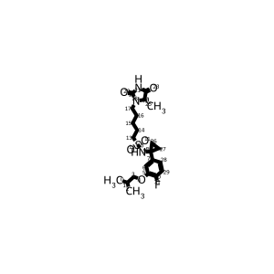 CC(C)COc1cc(C2(NS(=O)(=O)CCCCCN3C(=O)NC(=O)[C@@H]3C)CC2)ccc1F